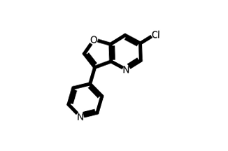 Clc1cnc2c(-c3ccncc3)coc2c1